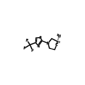 [2H][C@@H]1CCCN(c2nc(C(F)(F)F)cs2)C1